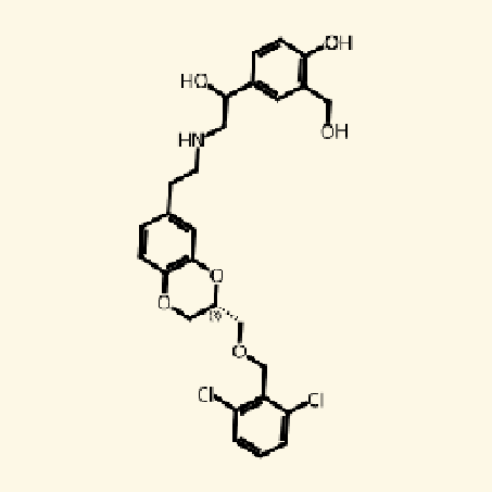 OCc1cc(C(O)CNCCc2ccc3c(c2)O[C@H](COCc2c(Cl)cccc2Cl)CO3)ccc1O